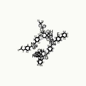 CC(C)Cc1ccc(-c2nc(-c3ccc(CN4CCC(C(=O)O)(C(=O)O)CC4(C)COC(=O)OC(C)C)cc3)no2)cc1.CC1CN(Cc2ccc(-c3noc(-c4ccc(-c5ccccc5)c(F)c4)n3)cc2)C(=O)C(CC2=COCO2)(Cc2ccccc2)C1(C(=O)O)C(=O)O